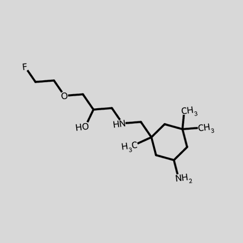 CC1(C)CC(N)CC(C)(CNCC(O)COCCF)C1